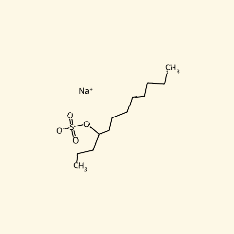 CCCCCCCCC(CCC)OS(=O)(=O)[O-].[Na+]